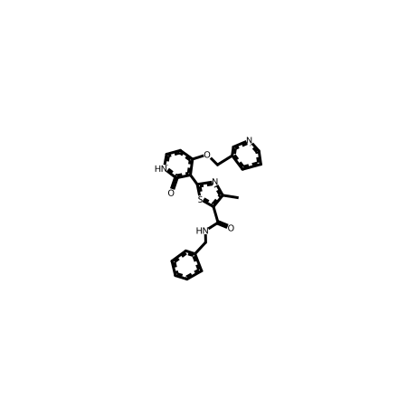 Cc1nc(-c2c(OCc3cccnc3)cc[nH]c2=O)sc1C(=O)NCc1ccccc1